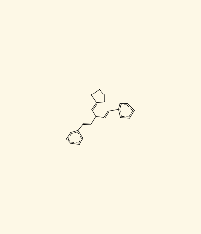 C(=CC(C=Cc1ccccc1)C=C1CCCC1)c1ccccc1